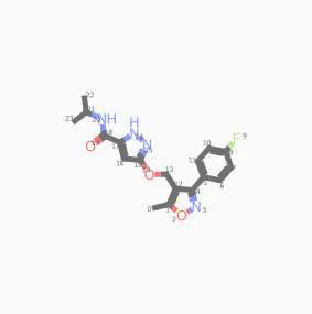 Cc1onc(-c2ccc(F)cc2)c1COc1cc(C(=O)NC(C)C)[nH]n1